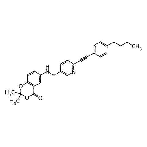 CCCCc1ccc(C#Cc2ccc(CNc3ccc4c(c3)C(=O)OC(C)(C)O4)cn2)cc1